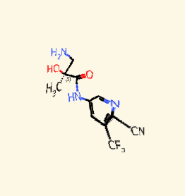 C[C@](O)(CN)C(=O)Nc1cnc(C#N)c(C(F)(F)F)c1